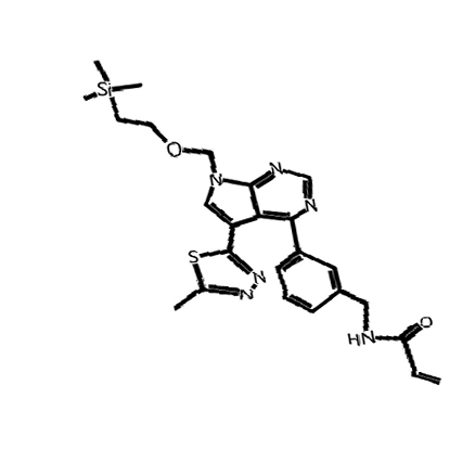 C=CC(=O)NCc1cccc(-c2ncnc3c2c(-c2nnc(C)s2)cn3COCC[Si](C)(C)C)c1